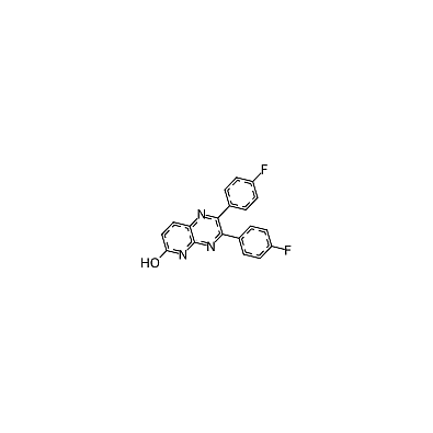 Oc1ccc2nc(-c3ccc(F)cc3)c(-c3ccc(F)cc3)nc2n1